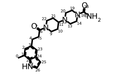 Cc1cc(C[CH]C(=O)N2CCC(N3CCN(C(N)=O)CC3)CC2)cc2cc[nH]c12